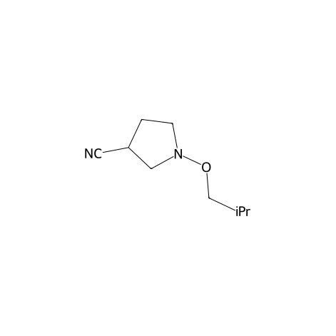 CC(C)CON1CCC(C#N)C1